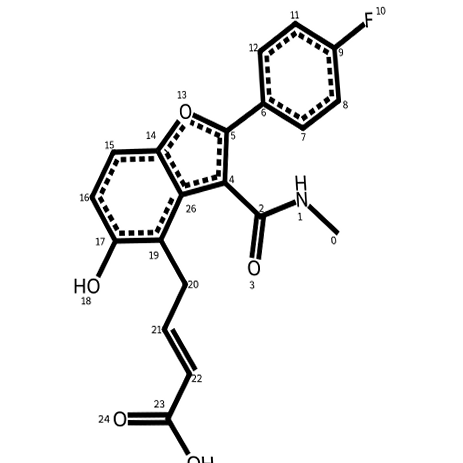 CNC(=O)c1c(-c2ccc(F)cc2)oc2ccc(O)c(C/C=C/C(=O)O)c12